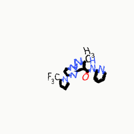 Cc1nn2ccc(N3CCC[C@@H]3C(F)(F)F)nc2c1C(=O)Nc1ccccn1